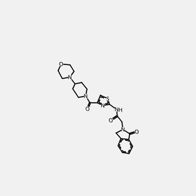 O=C(CN1Cc2ccccc2C1=O)Nc1nc(C(=O)N2CCC(N3CCOCC3)CC2)cs1